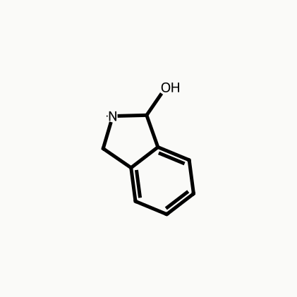 OC1[N]Cc2ccccc21